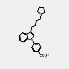 O=C(O)c1ccc(-n2cc(CCCCN3CCCC3)c3ccccc32)cc1